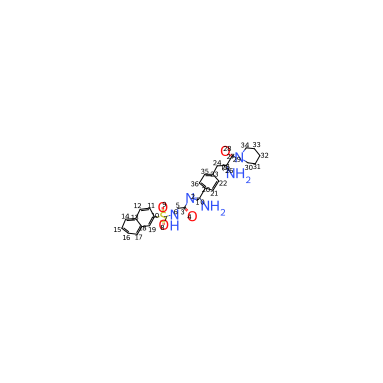 NC(=NC(=O)CNS(=O)(=O)c1ccc2ccccc2c1)c1ccc(C[C@H](N)C(=O)N2CCCCC2)cc1